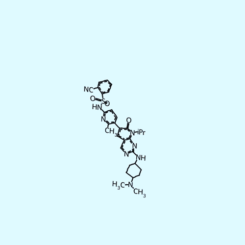 Cc1nc(NS(=O)(=O)c2ccccc2C#N)ccc1-c1cc2cnc(NC3CCC(N(C)C)CC3)nc2n(C(C)C)c1=O